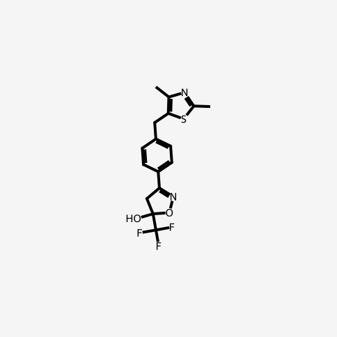 Cc1nc(C)c(Cc2ccc(C3=NOC(O)(C(F)(F)F)C3)cc2)s1